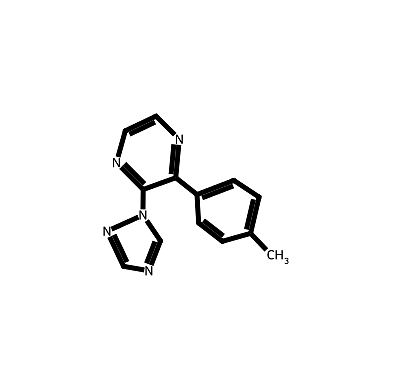 Cc1ccc(-c2nccnc2-n2cncn2)cc1